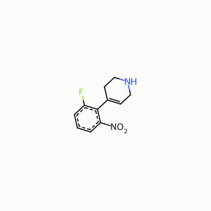 O=[N+]([O-])c1cccc(F)c1C1=CCNCC1